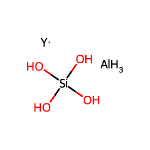 O[Si](O)(O)O.[AlH3].[Y]